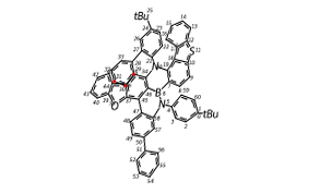 CC(C)(C)c1ccc(N2B3c4ccc5sc6ccccc6c5c4N(c4ccc(C(C)(C)C)cc4-c4ccccc4)c4cc5c(oc6ccccc65)c(c43)-c3ccc(-c4ccccc4)cc32)cc1